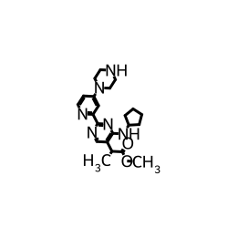 COC(=O)C(C)c1cnc(-c2cc(N3CCNCC3)ccn2)nc1NC1CCCC1